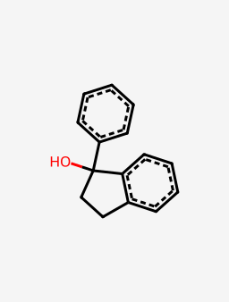 OC1(c2ccccc2)CCc2ccccc21